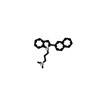 CN(C)CCCn1c(-c2ccc3ccccc3c2)cc2ccccc21